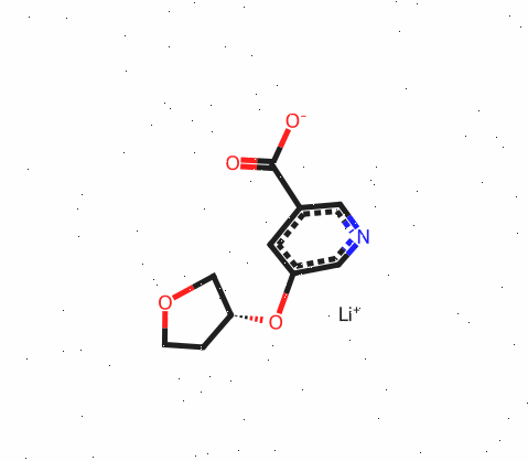 O=C([O-])c1cncc(O[C@@H]2CCOC2)c1.[Li+]